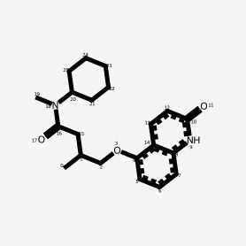 CC(COc1cccc2[nH]c(=O)ccc12)CC(=O)N(C)C1CCCCC1